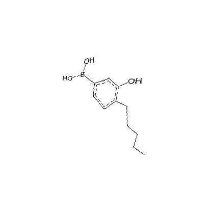 CCCCCc1ccc(B(O)O)cc1O